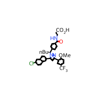 CCCC[C@@H](c1ccc(C(=O)NCCC(=O)O)cc1)n1nc(-c2cc(C(F)(F)F)ccc2OC)cc1-c1ccc2cc(Cl)ccc2c1